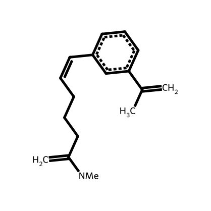 C=C(CCC/C=C\c1cccc(C(=C)C)c1)NC